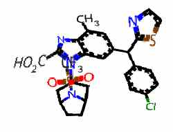 Cc1cc(C(c2ccc(Cl)cc2)c2nccs2)cc2c1nc(C(=O)O)n2C1CC2CCC(C1)N2S(=O)(=O)C(F)(F)F